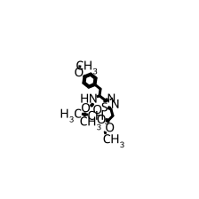 CCOC(=O)Cc1nnc(C(Cc2ccc(OC)cc2)NC(=O)OC(C)(C)C)s1